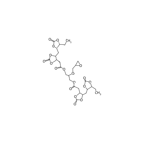 CCC1OC(=O)OC1CC1OC(=O)OC1CC(=O)OCC(COC(=O)CC1OC(=O)OC1CC1OC(=O)OC1CC)OCC1CO1